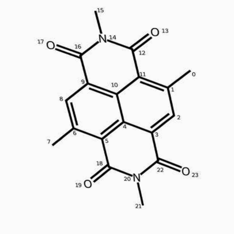 Cc1cc2c3c(c(C)cc4c3c1C(=O)N(C)C4=O)C(=O)N(C)C2=O